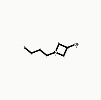 OC1CN(CCCI)C1